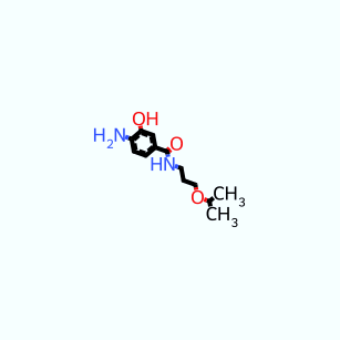 CC(C)OCCCNC(=O)c1ccc(N)c(O)c1